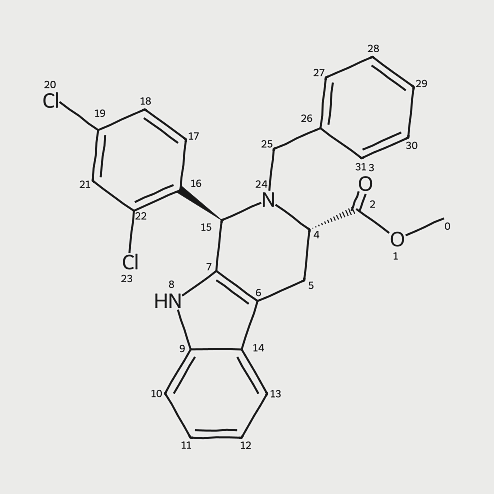 COC(=O)[C@@H]1Cc2c([nH]c3ccccc23)[C@@H](c2ccc(Cl)cc2Cl)N1Cc1ccccc1